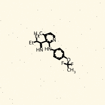 CCC(CC)C(=N)c1c(C)ccnc1Nc1ccc(OC(C)(F)F)cc1